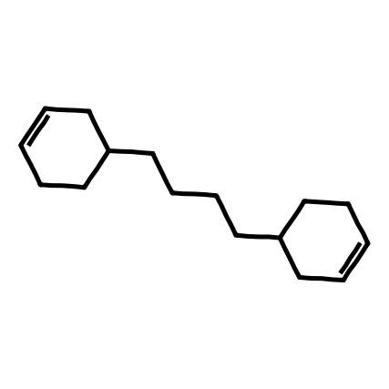 C1=CCC(CCCCC2CC=CCC2)CC1